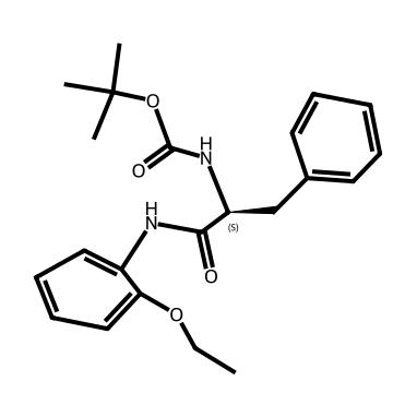 CCOc1ccccc1NC(=O)[C@H](Cc1ccccc1)NC(=O)OC(C)(C)C